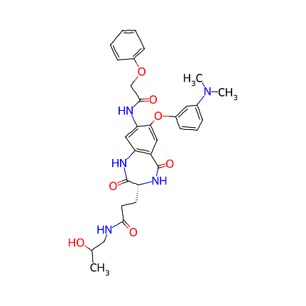 CC(O)CNC(=O)CC[C@H]1NC(=O)c2cc(Oc3cccc(N(C)C)c3)c(NC(=O)COc3ccccc3)cc2NC1=O